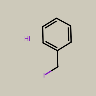 I.ICc1ccccc1